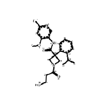 COc1cc(Cl)ncc1NC(=O)C1(c2ccccc2C(C)C)CN(C(=O)CCO)C1